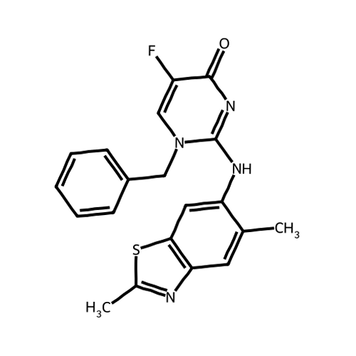 Cc1nc2cc(C)c(Nc3nc(=O)c(F)cn3Cc3ccccc3)cc2s1